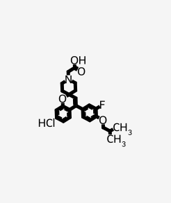 CC(C)COc1ccc(C2=CC3(CCN(CC(=O)O)CC3)Oc3ccccc32)cc1F.Cl